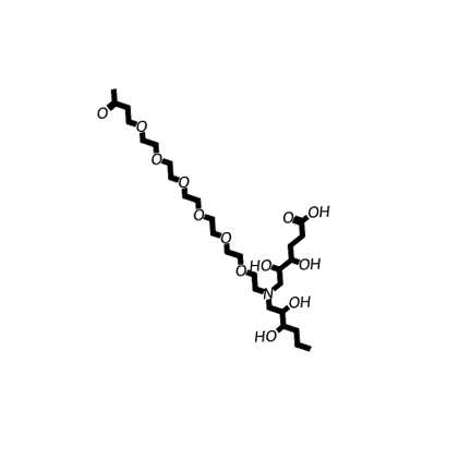 CCCC(O)C(O)CN(CCOCCOCCOCCOCCOCCOCCC(C)=O)CC(O)C(O)CCC(=O)O